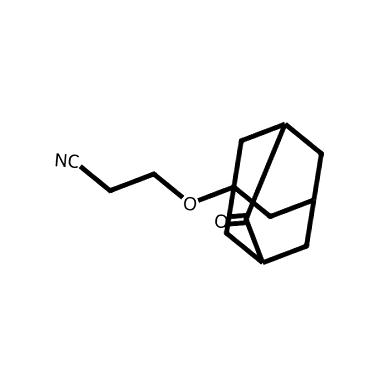 N#CCCOC12CC3CC(C1)C(=O)C(C3)C2